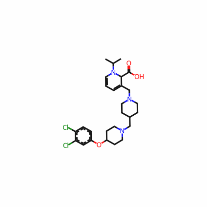 CC(C)N1C=CC=C(CN2CCC(CN3CCC(Oc4ccc(Cl)c(Cl)c4)CC3)CC2)C1C(=O)O